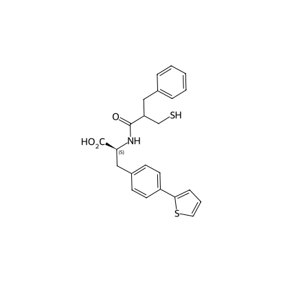 O=C(N[C@@H](Cc1ccc(-c2cccs2)cc1)C(=O)O)C(CS)Cc1ccccc1